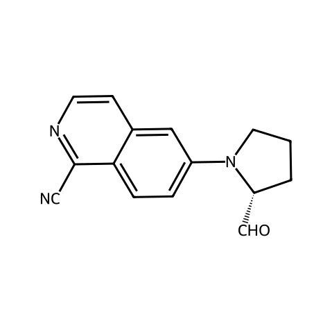 N#Cc1nccc2cc(N3CCC[C@@H]3C=O)ccc12